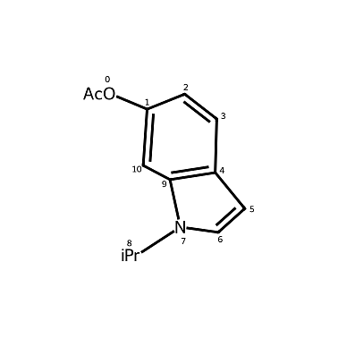 CC(=O)Oc1ccc2ccn(C(C)C)c2c1